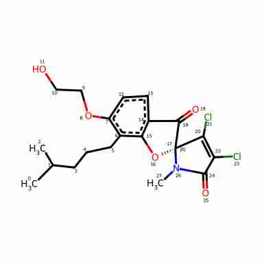 CC(C)CCCc1c(OCCO)ccc2c1O[C@]1(C2=O)C(Cl)=C(Cl)C(=O)N1C